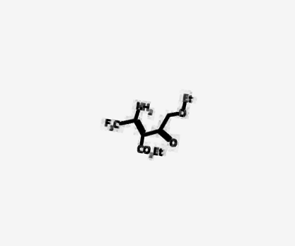 CCOCC(=O)C(C(=O)OCC)=C(N)C(F)(F)F